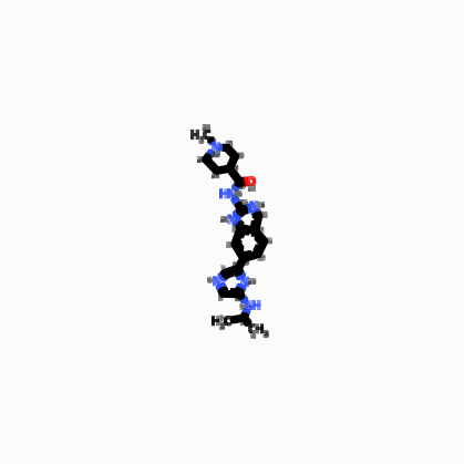 CC(C)Nc1cncc(-c2ccc3cnc(NC(=O)C4CCN(C)CC4)nc3c2)n1